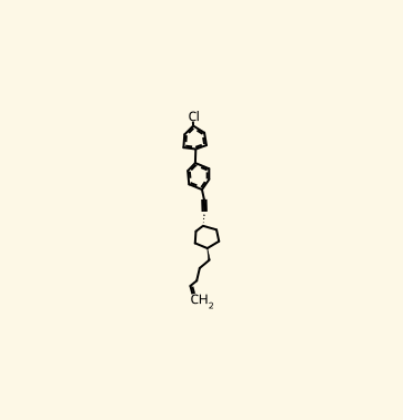 C=CCCC[C@H]1CC[C@H](C#Cc2ccc(-c3ccc(Cl)cc3)cc2)CC1